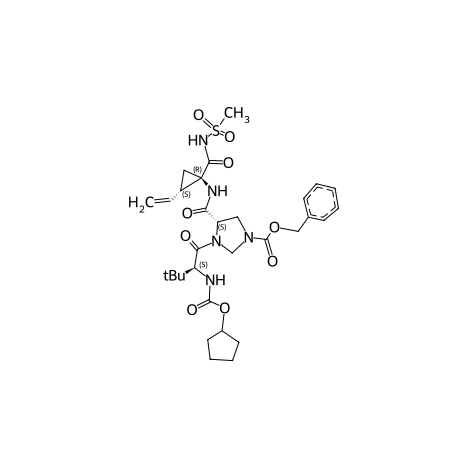 C=C[C@@H]1C[C@]1(NC(=O)[C@@H]1CN(C(=O)OCc2ccccc2)CN1C(=O)[C@@H](NC(=O)OC1CCCC1)C(C)(C)C)C(=O)NS(C)(=O)=O